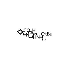 CC(C)(C)OC(=O)NCC1CCN(CC2(C(=O)O)CCC2)CC1